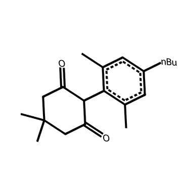 CCCCc1cc(C)c(C2C(=O)CC(C)(C)CC2=O)c(C)c1